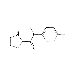 CN(C(=O)C1CCCN1)c1ccc(F)cc1